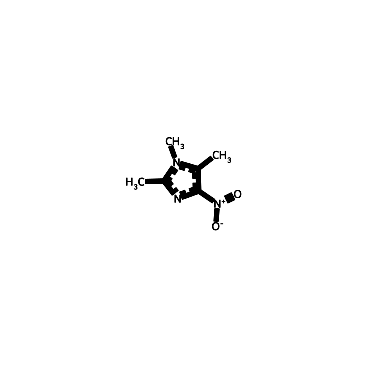 Cc1nc([N+](=O)[O-])c(C)n1C